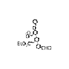 CCOC(=O)/C=C/c1cc(-c2ccc(OCc3ccccc3)cc2CC2OCCO2)ccc1-c1cccc(C=O)c1